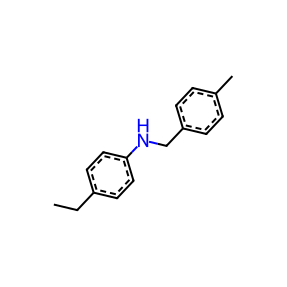 CCc1ccc(NCc2ccc(C)cc2)cc1